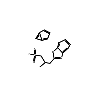 CC(Cc1nc2ccccc2o1)CS(=O)(=O)O.c1cc2cc-2c1